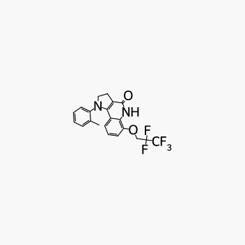 Cc1ccccc1N1CCc2c1c1cccc(OCC(F)(F)C(F)(F)F)c1[nH]c2=O